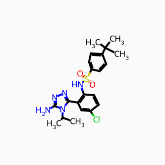 CC(C)n1c(N)nnc1-c1cc(Cl)ccc1NS(=O)(=O)c1ccc(C(C)(C)C)cc1